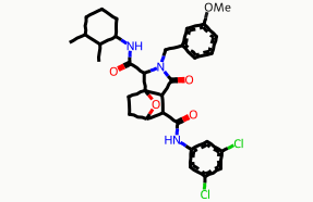 COc1cccc(CN2C(=O)C3C(C(=O)Nc4cc(Cl)cc(Cl)c4)C4CCC3(O4)C2C(=O)NC2CCCC(C)C2C)c1